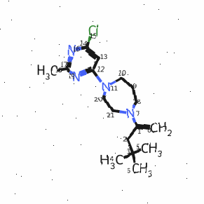 C=C(CC(C)(C)C)N1CCCN(c2cc(Cl)nc(C)n2)CC1